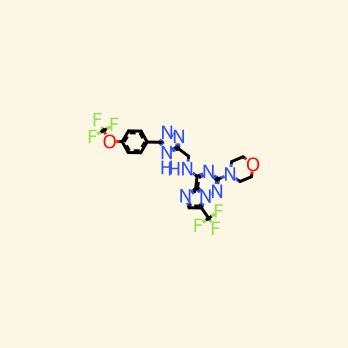 FC(F)(F)Oc1ccc(-c2nnc(CNc3nc(N4CCOCC4)nn4c(C(F)(F)F)cnc34)[nH]2)cc1